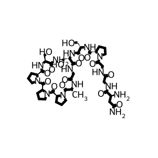 C[C@H](NC(=O)CNC(=O)[C@H](CO)NC(=O)[C@H](CO)NC(=O)[C@@H]1CCCN1C(=O)CNC(=O)CNC(=O)[C@@H](N)CC(N)=O)C(=O)N1CCC[C@H]1C(=O)N1CCC[C@H]1C(=O)N1CCC[C@H]1C(=O)N[C@@H](CO)C(N)=O